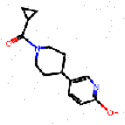 O=C(C1CC1)N1CCC(c2ccc(O)nc2)CC1